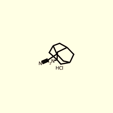 Cl.N#CC1CC2CC3CC1CC(N)(C2)C3